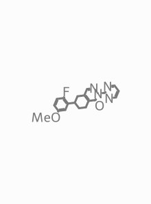 COc1ccc(F)c(C2CCc3c(cnn(-c4ncccn4)c3=O)C2)c1